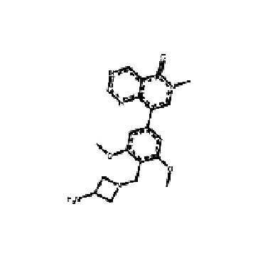 COc1cc(-c2cn(C)c(=O)c3cncnc23)cc(OC)c1CN1CC(N)C1